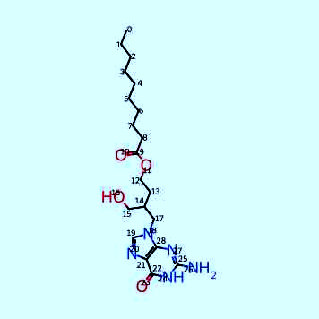 CCCCCCCCCC(=O)OCCC(CO)Cn1cnc2c(=O)[nH]c(N)nc21